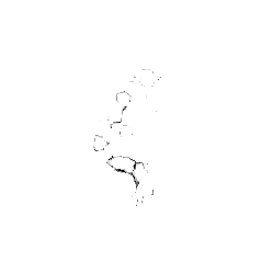 CCN1CCN(Cc2ccc(C(=O)Nc3cccc(-c4ccc5c(N)n[nH]c5c4)c3)cc2C(F)(F)F)CC1